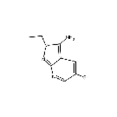 CCn1nc2ncc(Br)cc2c1N